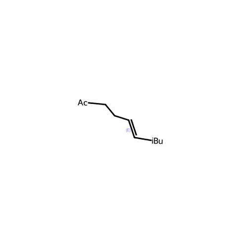 CCC(C)/C=C/CCC(C)=O